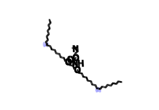 CCCCCCCC/C=C\CCCCCCCCOCC(COCCCCCCCC/C=C\CCCCCCCC)NC(=O)OCCN(C)C